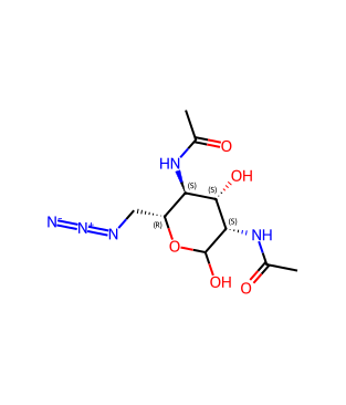 CC(=O)N[C@H]1[C@H](O)[C@H](NC(C)=O)C(O)O[C@@H]1CN=[N+]=[N-]